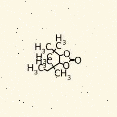 CCC(C)(C)C1OC(=O)OC1C(C)(C)C